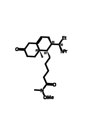 CCC[C@H](CC)[C@@H]1CC=C2CC(=O)CC[C@]2(C)[C@H]1CCCCC(=O)N(C)OC